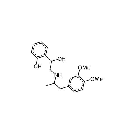 COc1ccc(CC(C)NCC(O)c2ccccc2O)cc1OC